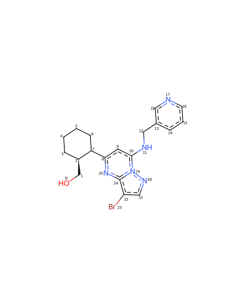 OC[C@H]1CCCCC1c1cc(NCc2cccnc2)n2ncc(Br)c2n1